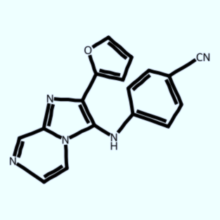 N#Cc1ccc(Nc2c(-c3ccco3)nc3cnccn23)cc1